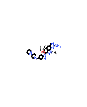 Cn1nc(C(O)Nc2ccc(CN3CCC(N4CCCCC4)CC3)cc2)c2c1-c1nc(N)ncc1CC2(C)C